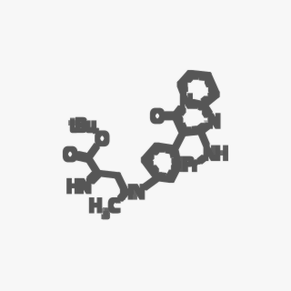 CC(C)Nc1nc2ccccn2c(=O)c1-c1ccc(NC(C)CC(=N)C(=O)OC(C)(C)C)cc1